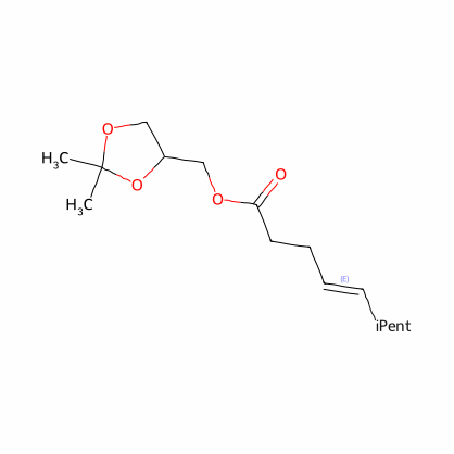 CCCC(C)/C=C/CCC(=O)OCC1COC(C)(C)O1